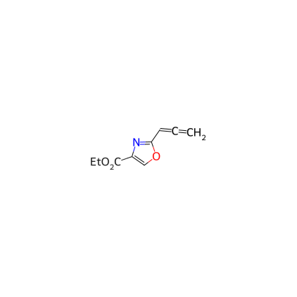 C=C=Cc1nc(C(=O)OCC)co1